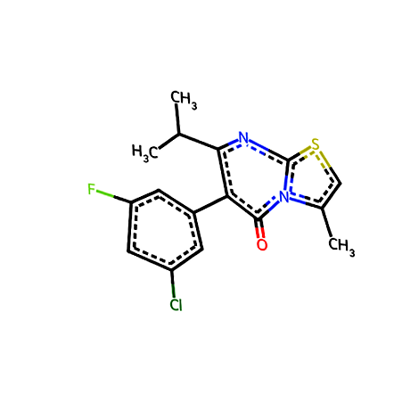 Cc1csc2nc(C(C)C)c(-c3cc(F)cc(Cl)c3)c(=O)n12